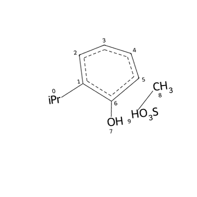 CC(C)c1ccccc1O.CS(=O)(=O)O